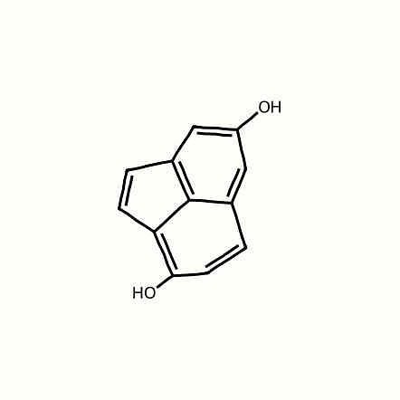 Oc1cc2c3c(c(O)ccc3c1)C=C2